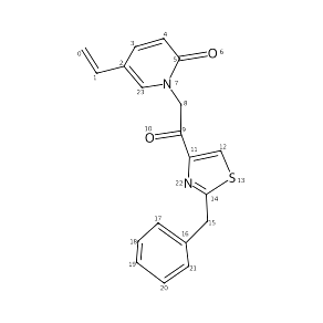 C=Cc1ccc(=O)n(CC(=O)c2csc(Cc3ccccc3)n2)c1